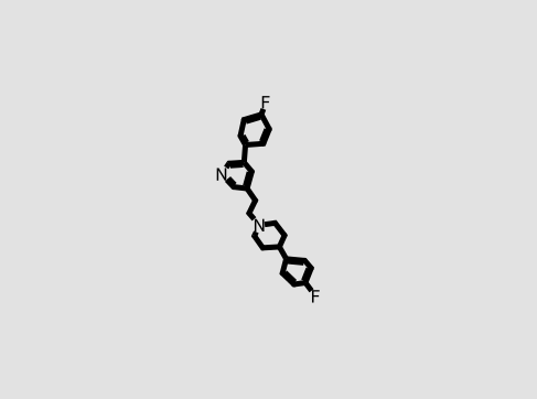 Fc1ccc(-c2cncc(CCN3CCC(c4ccc(F)cc4)CC3)c2)cc1